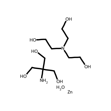 NC(CO)(CO)CO.O.OCCN(CCO)CCO.[Zn]